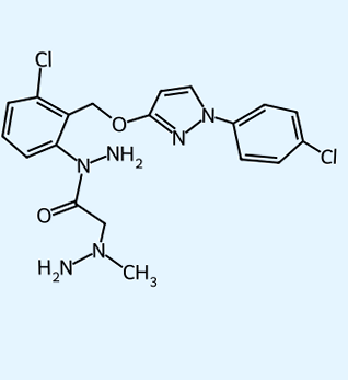 CN(N)CC(=O)N(N)c1cccc(Cl)c1COc1ccn(-c2ccc(Cl)cc2)n1